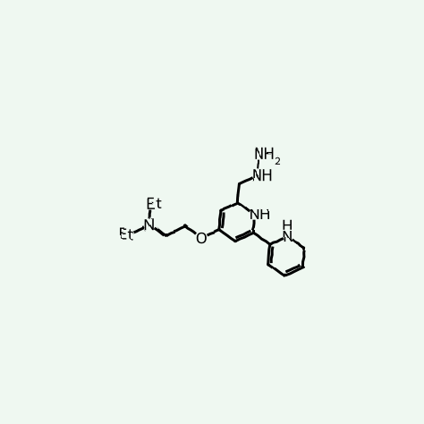 CCN(CC)CCOC1=CC(CNN)NC(C2=CC=CCN2)=C1